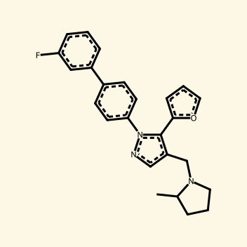 CC1CCCN1Cc1cnn(-c2ccc(-c3cccc(F)c3)cc2)c1-c1ccco1